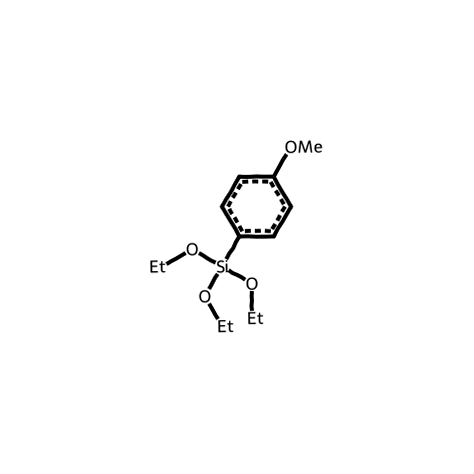 CCO[Si](OCC)(OCC)c1ccc(OC)cc1